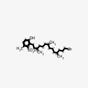 Cc1ccc(O)c(CCC(C)CCCC(C)CCCC(C)CCCC(C)C)c1S(=O)(=O)O